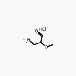 CO[C@H](C=O)CN.Cl